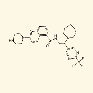 O=C(NCC(c1cnc(C(F)(F)F)nc1)N1CCCCCC1)c1cccc2nc(N3CCNCC3)ccc12